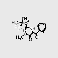 COC(=O)[C@@H](NC(=O)OC(C)(C)C)C(=O)c1ccccc1